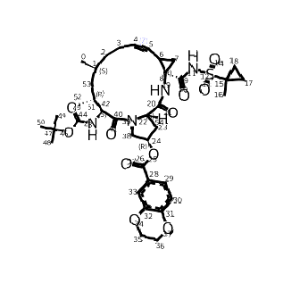 C[C@H]1CC/C=C\C2C[C@@]2(C(=O)NS(=O)(=O)C2(C)CC2)NC(=O)[C@@H]2C[C@@H](OC(=O)c3ccc4c(c3)OCCO4)CN2C(=O)[C@@H](NC(=O)OC(C)(C)C)[C@H](C)C1